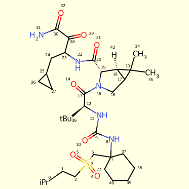 CC(C)CCS(=O)(=O)CC1(NC(=O)N[C@H](C(=O)N2CC3[C@@H]([C@H]2C(=O)NC(CC2CC2)C(=O)C(N)=O)C3(C)C)C(C)(C)C)CCCCC1